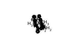 CC(C)(c1ccc(-c2ccccc2)c(F)c1)c1cc(/N=C(/N)N2CCCCC2)no1.CC(C)(c1ccc(-c2ccccc2)c(F)c1)c1cc(C/N=C(\N)N2CCCCC2)no1